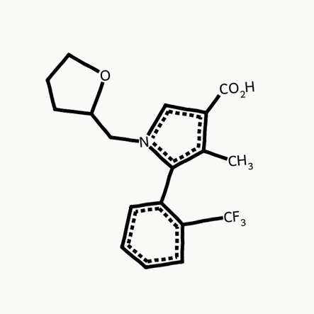 Cc1c(C(=O)O)cn(CC2CCCO2)c1-c1ccccc1C(F)(F)F